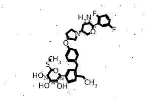 CCc1ccc([C@@H]2O[C@H](SC)[C@@H](O)[C@H](O)[C@H]2O)cc1Cc1ccc(O[C@H]2CCN([C@@H]3CO[C@H](c4cc(F)ccc4F)[C@@H](N)C3)C2)cc1